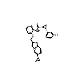 O=C(Nc1ncccc1OCc1cn2cc(C3CC3)ccc2n1)[C@H]1C[C@@H]1c1cccc(Cl)c1